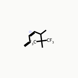 C=C/C=C\C(C)C(C)(C(F)(F)F)C(F)(F)F